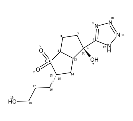 O=S1(=O)C2CC[C@](O)(c3nnn[nH]3)C2C[C@@H]1CCCO